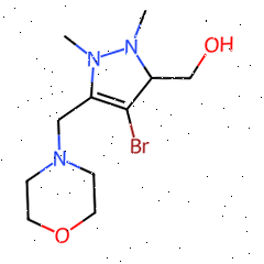 CN1C(CN2CCOCC2)=C(Br)C(CO)N1C